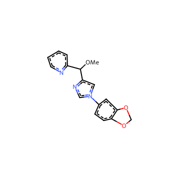 COC(c1ccccn1)c1cn(-c2ccc3c(c2)OCO3)cn1